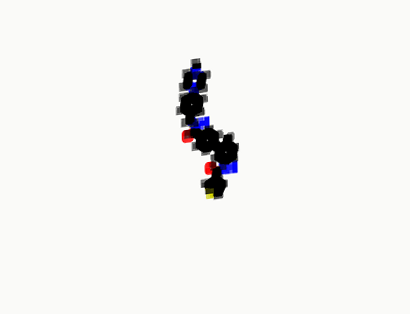 Cc1ccc(NC(=O)c2ccsc2)cc1-c1ccc(C(=O)NCc2ccc(N3CCN(C)CC3)cc2)cc1